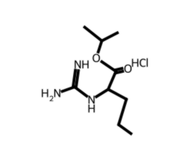 CCCC(NC(=N)N)C(=O)OC(C)C.Cl